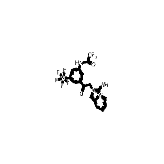 N=c1n(CC(=O)c2cc(NC(=O)C(F)(F)F)cc(S(F)(F)(F)(F)F)c2)cc2ccccn12